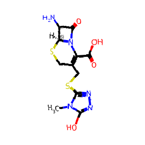 Cn1c(O)nnc1SCC1=C(C(=O)O)N2C(=O)C(N)[C@@H]2SC1